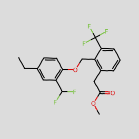 CCc1ccc(OCc2c(CC(=O)OC)cccc2C(F)(F)F)c(C(F)F)c1